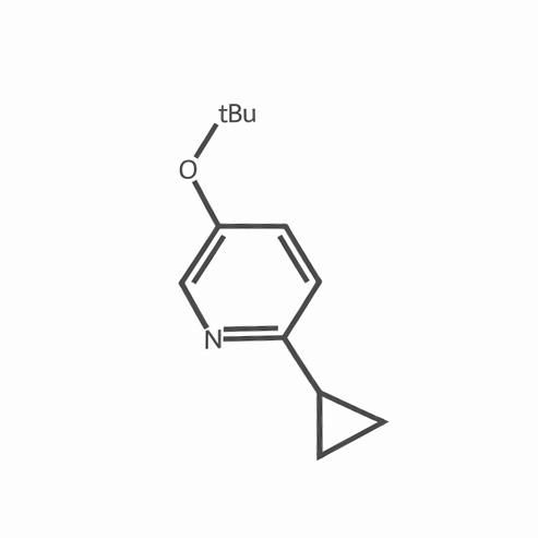 CC(C)(C)Oc1ccc(C2CC2)nc1